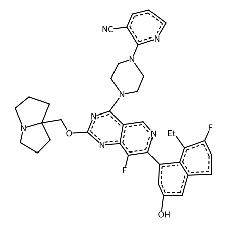 CCc1c(F)ccc2cc(O)cc(-c3ncc4c(N5CCN(c6ncccc6C#N)CC5)nc(OCC56CCCN5CCC6)nc4c3F)c12